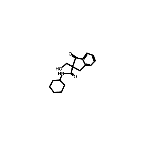 O=C(NC1CCCCC1)C1(CO)Cc2ccccc2C1=O